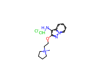 C[N+]1(CCOc2nn3ccccc3c2N)CCCC1.Cl.[Cl-]